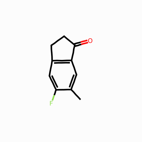 Cc1cc2c(cc1F)CCC2=O